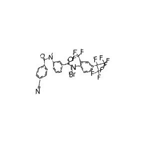 CN(C(=O)c1ccc(C#N)cc1)c1cccc(C(=O)N(Br)c2ccc(C(F)(C(F)(F)F)C(F)(F)F)cc2C(F)(F)F)c1